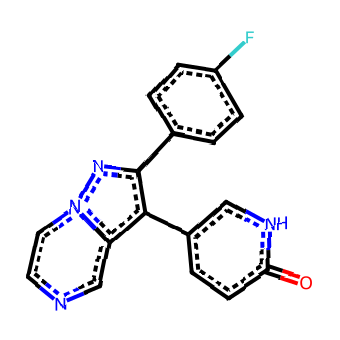 O=c1ccc(-c2c(-c3ccc(F)cc3)nn3ccncc23)c[nH]1